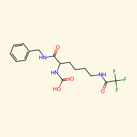 O=C(O)NC(CCCCNC(=O)C(F)(F)F)C(=O)NCc1ccccc1